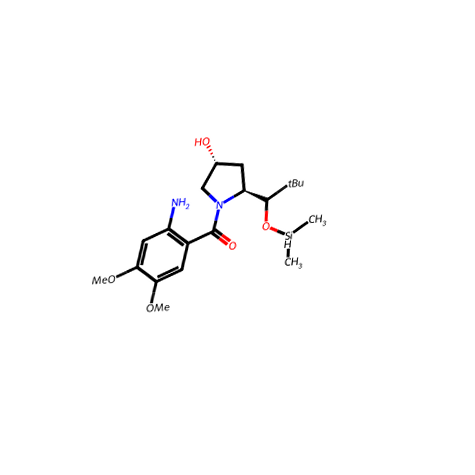 COc1cc(N)c(C(=O)N2C[C@H](O)C[C@H]2C(O[SiH](C)C)C(C)(C)C)cc1OC